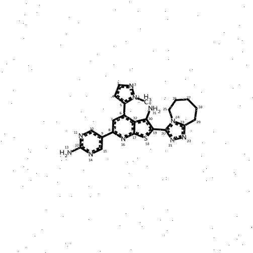 Cn1nccc1-c1cc(-c2cnc(N)nc2)nc2sc(-c3nnc4n3CCCCC4)c(N)c12